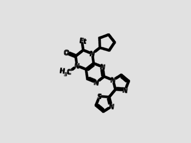 CCC1C(=O)N(C)c2cnc(-n3ccnc3-c3nccs3)nc2N1C1CCCC1